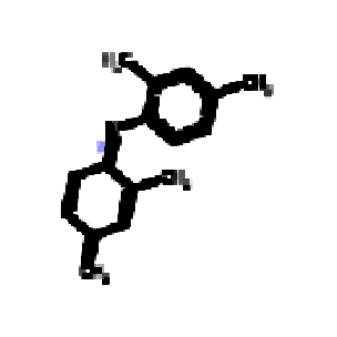 C=C1C=C/C(=N/c2ccc(C)cc2C)C(C)=C1